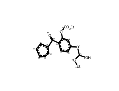 CCOC(=O)Oc1cc(OC(O)OCC)ccc1C(=O)c1ccccc1